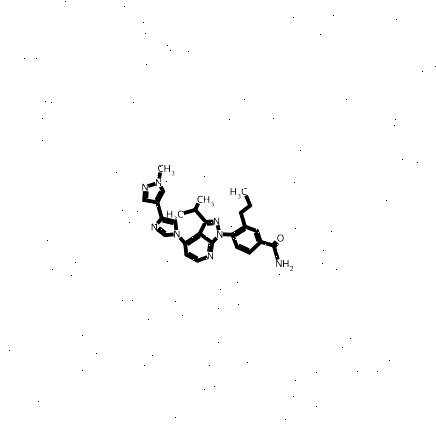 CCCc1cc(C(N)=O)ccc1-n1nc(C(C)C)c2c(-n3cnc(-c4cnn(C)c4)c3)ccnc21